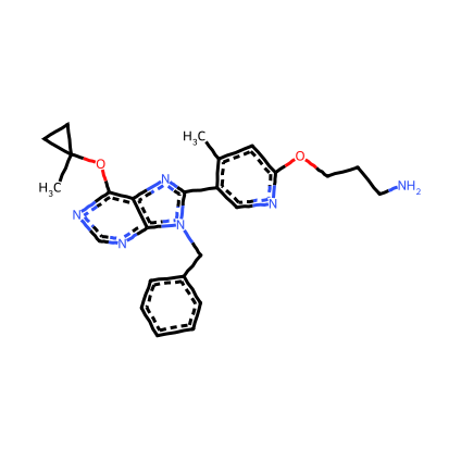 Cc1cc(OCCCN)ncc1-c1nc2c(OC3(C)CC3)ncnc2n1Cc1ccccc1